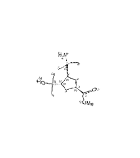 COC(=O)[C@@H]1C[C@H](C(C)(C)N)[C@@H](C(C)(C)O)C1